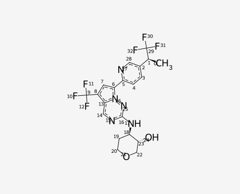 C[C@@H](c1ccc(-c2cc(C(F)(F)F)c3cnc(N[C@@H]4CCOC[C@H]4O)nn23)nc1)C(F)(F)F